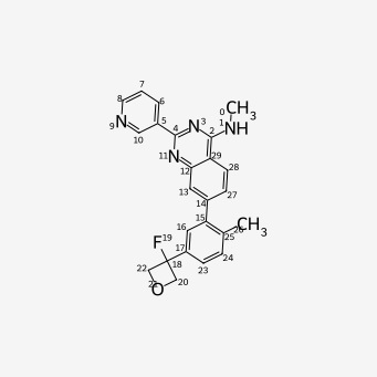 CNc1nc(-c2cccnc2)nc2cc(-c3cc(C4(F)COC4)ccc3C)ccc12